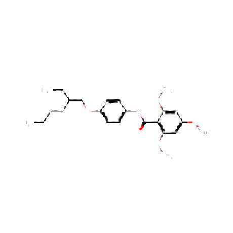 CCCCC(CC)COc1ccc(PC(=O)c2c(OC)cc(OC)cc2OC)cc1.[LiH]